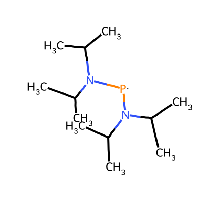 CC(C)N([P]N(C(C)C)C(C)C)C(C)C